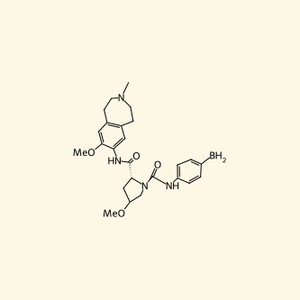 Bc1ccc(NC(=O)N2CC(OC)C[C@@H]2C(=O)Nc2cc3c(cc2OC)CCN(C)CC3)cc1